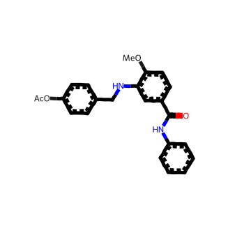 COc1ccc(C(=O)Nc2ccccc2)cc1NCc1ccc(OC(C)=O)cc1